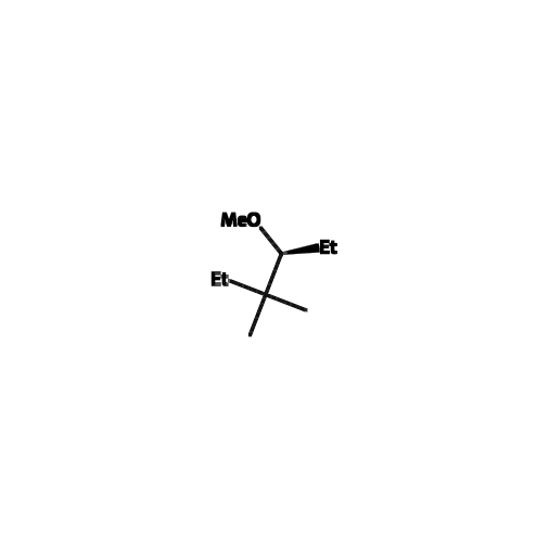 CC[C@H](OC)C(C)(C)CC